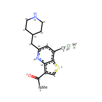 CNC(=O)c1csc2c(C(F)(F)F)cc(CC3CCNCC3)nc12.[Cl-].[H+]